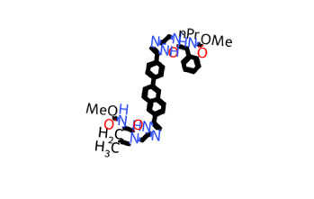 C=C(C)CN(Cc1ncc(-c2ccc3cc(-c4ccc(-c5cnc(CN(CCC)C(=O)[C@H](NC(=O)OC)c6ccccc6)[nH]5)cc4)ccc3c2)[nH]1)C(=O)CNC(=O)OC